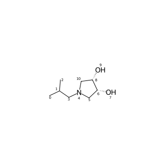 CC(C)CN1C[C@@H](O)[C@@H](O)C1